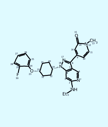 CCNc1cc2c(cn1)c(-c1ccn(C)c(=O)c1)nn2[C@H]1CC[C@@H](Oc2ccccc2F)CC1